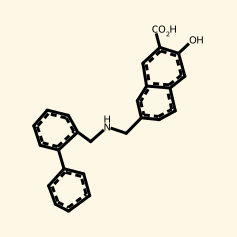 O=C(O)c1cc2cc(CNCc3ccccc3-c3ccccc3)ccc2cc1O